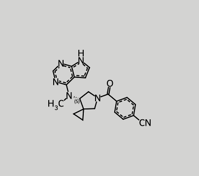 CN(c1ncnc2[nH]ccc12)[C@@H]1CN(C(=O)c2ccc(C#N)cc2)CC12CC2